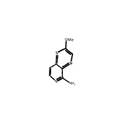 COc1cnc2c(N)nccc2n1